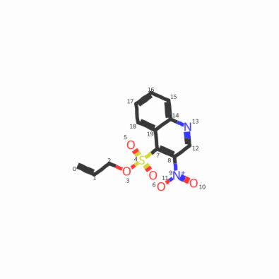 C=CCOS(=O)(=O)c1c([N+](=O)[O-])cnc2ccccc12